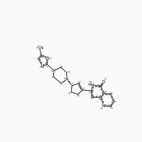 N#Cc1cnc(N2CCN([C@H]3C=C(c4cc5ncccc5c(=O)[nH]4)CC3)CC2)s1